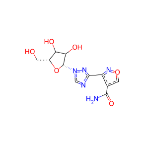 NC(=O)c1conc1-c1ncn([C@@H]2O[C@H](CO)C(O)C2O)n1